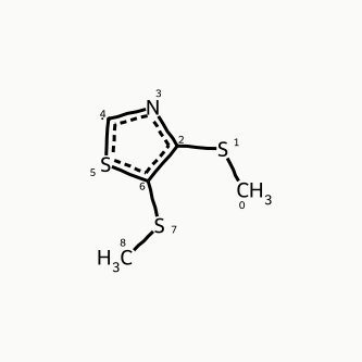 CSc1n[c]sc1SC